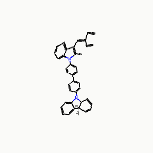 C=CC(C=C)=Cc1c(C)n(-c2ccc(-c3ccc(N4c5ccccc5[C@@H]5C=CC=CC54)cc3)cc2)c2ccccc12